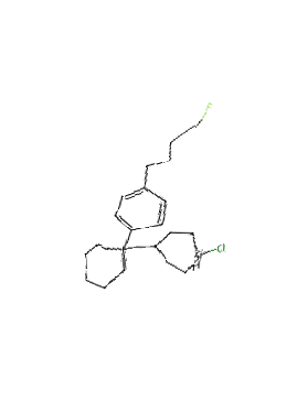 FCCCCc1ccc(C2(C3CC[SiH](Cl)CC3)CCCCC2)cc1